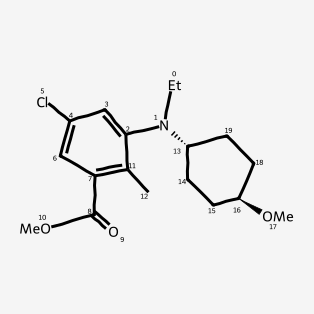 CCN(c1cc(Cl)cc(C(=O)OC)c1C)[C@H]1CC[C@H](OC)CC1